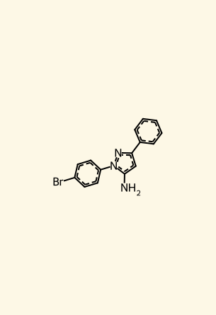 Nc1cc(-c2ccccc2)nn1-c1ccc(Br)cc1